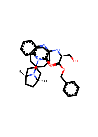 O=C(OCc1ccccc1)[C@H](CO)Nc1nc2ccccc2n([C@H]2C[C@H]3CC[C@@H](C2)N3C2CCCCCCC2)c1=O